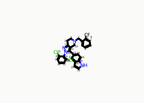 FC(F)(F)c1ccccc1CN1CCc2nn(-c3c(Cl)cccc3Cl)c(-c3ccc4[nH]ccc4c3)c2C1